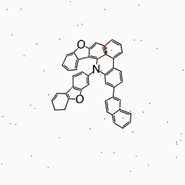 C1=Cc2c(oc3cc(N(c4cc(-c5ccc6ccccc6c5)ccc4-c4ccccc4)c4cccc5oc6ccccc6c45)ccc23)CC1